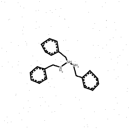 c1ccc(C[SiH2][SiH](Cc2ccccc2)[SiH2]Cc2ccccc2)cc1